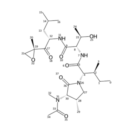 CC[C@H](C)[C@@H](C(=O)N[C@H](C(=O)N[C@@H](CC(C)C)C(=O)[C@@]1(C)CO1)[C@@H](C)O)N1C[C@H](C)[C@H](N(C)C(C)=O)C1=O